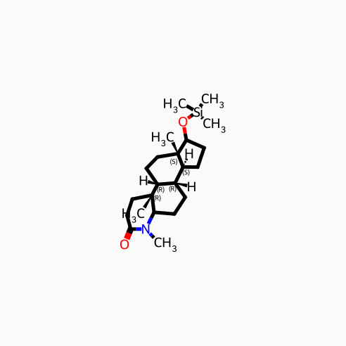 CN1C(=O)CC[C@@]2(C)C1CC[C@@H]1[C@H]2CC[C@]2(C)C(O[Si](C)(C)C)CC[C@@H]12